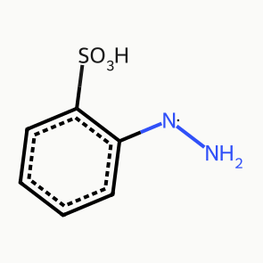 N[N]c1ccccc1S(=O)(=O)O